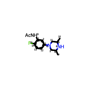 CC(=O)Nc1cc(N2CC(C)NC(C)C2)ccc1F